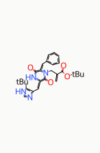 C=C(Cn1c(=O)/c(=C/c2nc[nH]c2C(C)(C)C)[nH]c(=O)/c1=C/c1ccccc1)C(=O)OC(C)(C)C